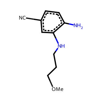 COCCCNc1cc(C#N)ccc1N